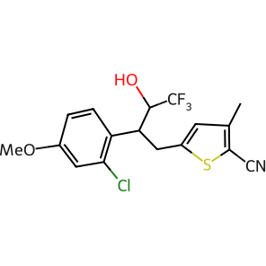 COc1ccc(C(Cc2cc(C)c(C#N)s2)C(O)C(F)(F)F)c(Cl)c1